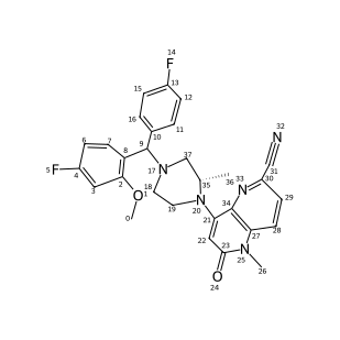 COc1cc(F)ccc1C(c1ccc(F)cc1)N1CCN(c2cc(=O)n(C)c3ccc(C#N)nc23)[C@@H](C)C1